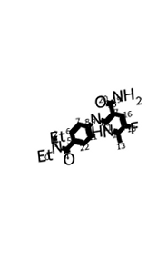 CCN(CC)C(=O)c1ccc(Nc2nc(C)c(F)cc2C(N)=O)cc1